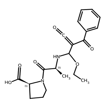 CCOC(N[C@@H](C)C(=O)N1CCC[C@H]1C(=O)O)C(=C=O)C(=O)c1ccccc1